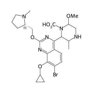 COC1CNC(C)C(c2nc(OC[C@@H]3CCCN3C)nc3c(OC4CC4)c(Br)ccc23)N1C(=O)O